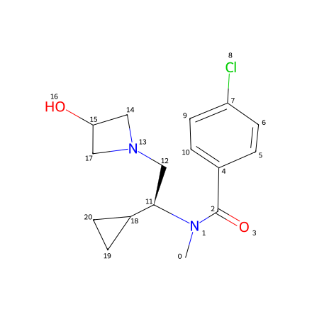 CN(C(=O)c1ccc(Cl)cc1)[C@H](CN1CC(O)C1)C1CC1